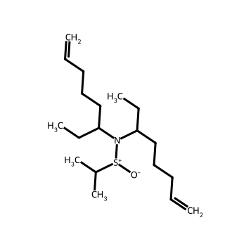 C=CCCCC(CC)N(C(CC)CCCC=C)[S+]([O-])C(C)C